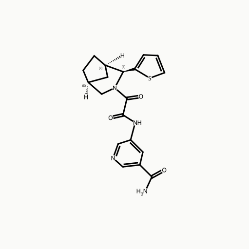 NC(=O)c1cncc(NC(=O)C(=O)N2C[C@H]3CC[C@H](C3)[C@H]2c2cccs2)c1